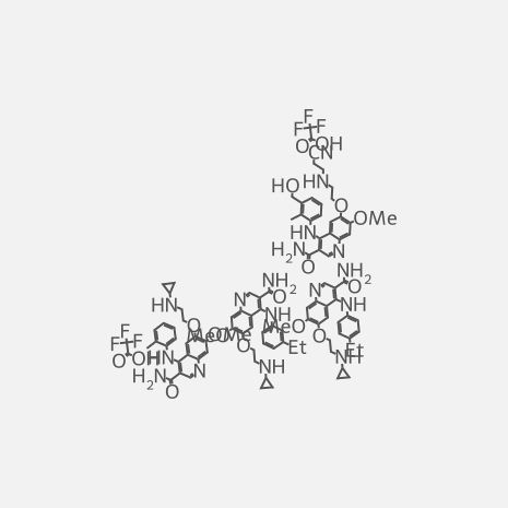 CCc1ccc(Nc2c(C(N)=O)cnc3cc(OC)c(OCCNC4CC4)cc23)cc1.CCc1cccc(Nc2c(C(N)=O)cnc3cc(OC)c(OCCNC4CC4)cc23)c1.COc1cc2ncc(C(N)=O)c(Nc3cccc(CO)c3C)c2cc1OCCNCCC#N.COc1cc2ncc(C(N)=O)c(Nc3ccccc3C)c2cc1OCCNC1CC1.O=C(O)C(F)(F)F.O=C(O)C(F)(F)F